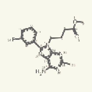 COC(=O)CCCn1c(-c2cccc(F)c2)nc2c(N)nc(I)nc21